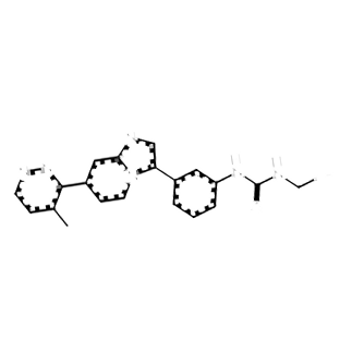 Cc1ccnnc1-c1ccn2c(-c3cccc(NC(=O)NCC(F)(F)F)c3)cnc2c1